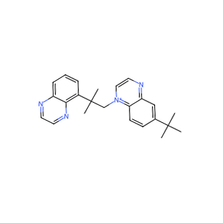 CC(C)(C)c1ccc2c(c1)ncc[n+]2CC(C)(C)c1cccc2nccnc12